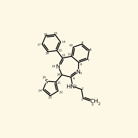 C=CCNC1=Nc2ccccc2C(c2ccccc2)=NC1c1cccs1